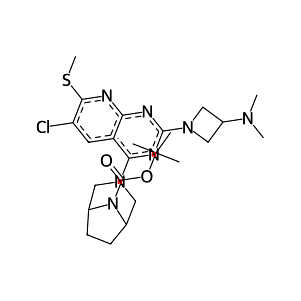 CSc1nc2nc(N3CC(N(C)C)C3)nc(N3CC4CCC(C3)N4C(=O)OC(C)(C)C)c2cc1Cl